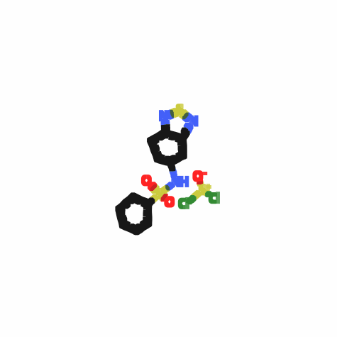 O=S(=O)(Nc1ccc2nsnc2c1)c1ccccc1.[O-][S+](Cl)Cl